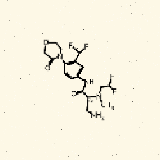 CN(CC(F)F)[C@@H](CN)C(=O)Nc1ccc(N2CCOCC2=O)c(C(F)F)c1